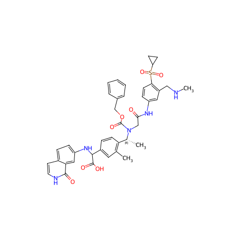 CNCc1cc(NC(=O)CN(C(=O)OCc2ccccc2)[C@H](C)c2ccc(C(Nc3ccc4cc[nH]c(=O)c4c3)C(=O)O)cc2C)ccc1S(=O)(=O)C1CC1